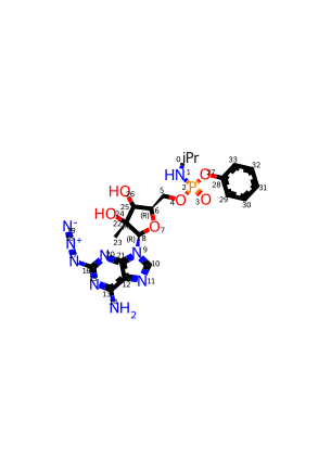 CC(C)NP(=O)(OC[C@H]1O[C@@H](n2cnc3c(N)nc(N=[N+]=[N-])nc32)[C@](C)(O)C1O)Oc1ccccc1